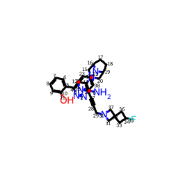 Nc1nnc(-c2ccccc2O)cc1N1CC2CCC(C1)N2c1ccnc(C#CCN2CC3(CC(F)C3)C2)c1